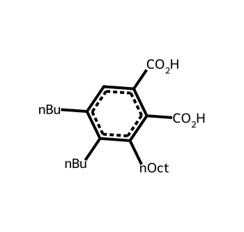 CCCCCCCCc1c(CCCC)c(CCCC)cc(C(=O)O)c1C(=O)O